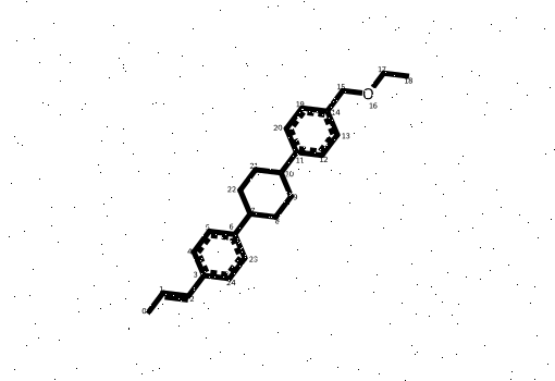 CC=Cc1ccc(C2CCC(c3ccc(COCC)cc3)CC2)cc1